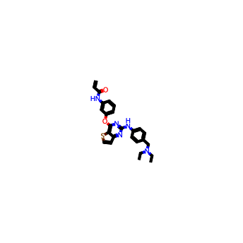 C=CC(=O)Nc1cccc(Oc2nc(Nc3ccc(CN(CC)CC)cc3)nc3ccsc23)c1